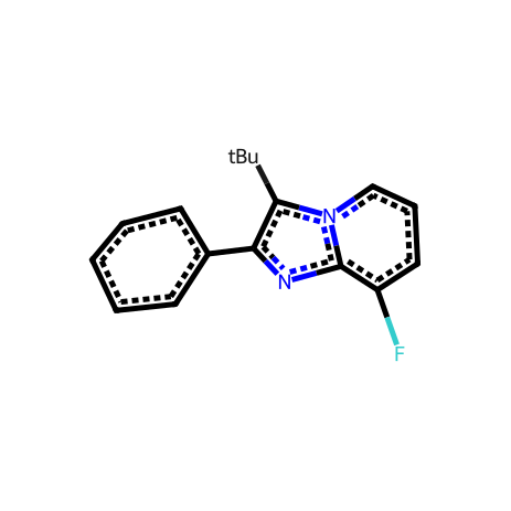 CC(C)(C)c1c(-c2ccccc2)nc2c(F)cccn12